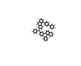 CC1(C)c2cc(N(c3ccccc3)c3cccc(-c4ccc5ccccc5c4-c4ccccc4)c3)ccc2-c2c(-c3ccc(-c4ccccc4)cc3)cccc21